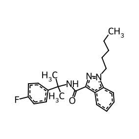 CCCCCn1nc(C(=O)NC(C)(C)c2ccc(F)cc2)c2ccccc21